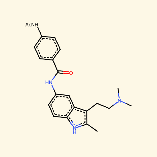 CC(=O)Nc1ccc(C(=O)Nc2ccc3[nH]c(C)c(CCN(C)C)c3c2)cc1